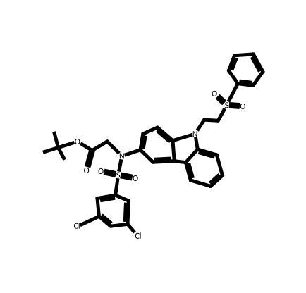 CC(C)(C)OC(=O)CN(c1ccc2c(c1)c1ccccc1n2CCS(=O)(=O)c1ccccc1)S(=O)(=O)c1cc(Cl)cc(Cl)c1